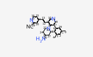 Cc1cc(C)cc(-c2cncc(C=Cc3ccnc(C#N)c3)c2N2CCC(N)CC2)c1